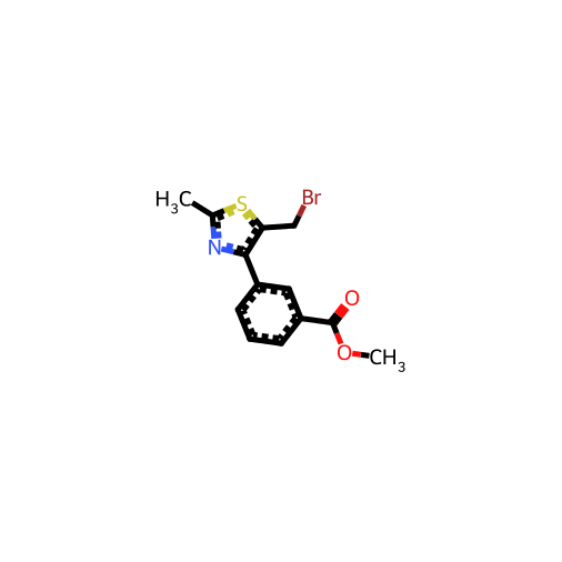 COC(=O)c1cccc(-c2nc(C)sc2CBr)c1